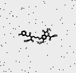 C#CC(=O)Nc1cc(OC)c(OCCCN(C(=O)C#C)C(=O)Cc2cccc(F)c2)cc1C(=O)OC